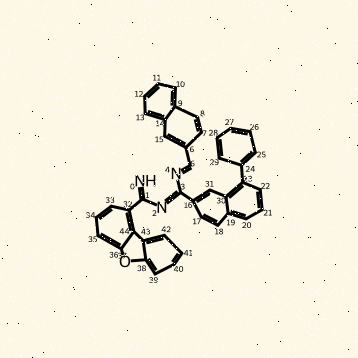 N=C(/N=C(\N=C\c1ccc2ccccc2c1)c1ccc2cccc(-c3ccccc3)c2c1)c1cccc2oc3ccccc3c12